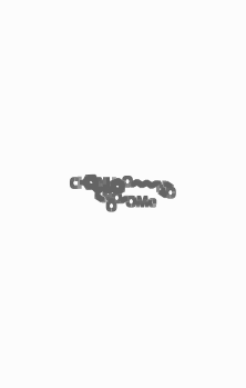 COCCOC(=O)N1CCc2c([nH]c3ccc(Cl)cc23)C1c1ccc(OCCCCCCN2CCOCC2)cc1